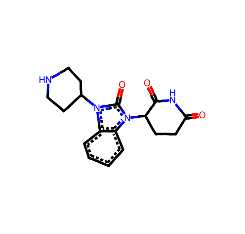 O=C1CCC(n2c(=O)n(C3CCNCC3)c3ccccc32)C(=O)N1